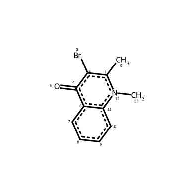 Cc1c(Br)c(=O)c2ccccc2n1C